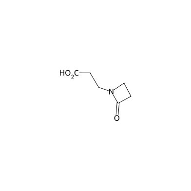 O=C(O)CCN1CCC1=O